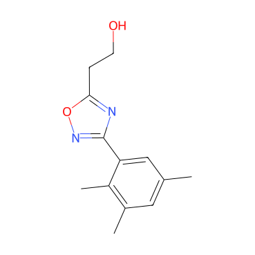 Cc1cc(C)c(C)c(-c2noc(CCO)n2)c1